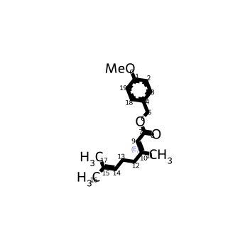 COc1ccc(COC(=O)/C=C(\C)CCC=C(C)C)cc1